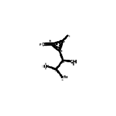 CCCCC(N)C(O)c1c(C)c1=O